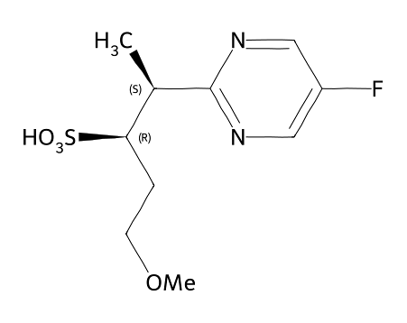 COCC[C@H]([C@@H](C)c1ncc(F)cn1)S(=O)(=O)O